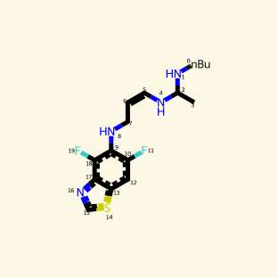 CCCCNC(C)N/C=C\CNc1c(F)cc2scnc2c1F